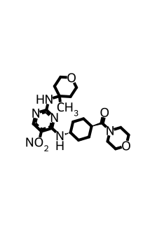 CC1(Nc2ncc([N+](=O)[O-])c(N[C@H]3CC[C@H](C(=O)N4CCOCC4)CC3)n2)CCOCC1